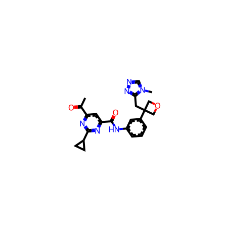 CC(=O)c1cc(C(=O)Nc2cccc(C3(Cc4nncn4C)COC3)c2)nc(C2CC2)n1